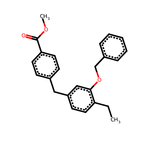 CCc1ccc(Cc2ccc(C(=O)OC)cc2)cc1OCc1ccccc1